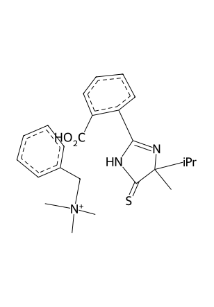 CC(C)C1(C)N=C(c2ccccc2C(=O)O)NC1=S.C[N+](C)(C)Cc1ccccc1